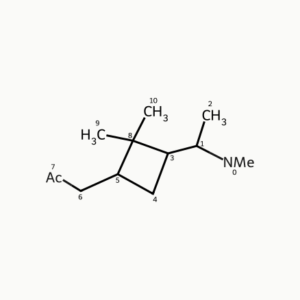 CNC(C)C1CC(CC(C)=O)C1(C)C